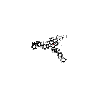 C=CC(CCCO)C1CCC(C(C2CCC(C3CCC(C4CCCCC4)CC3)CC2)C(CC)C[C@@H]2CC3CCC(C4CC[C@H]5C[C@H]6CCCCC6C5C4)CC3C2(C)C(CCCC)CC2C=CCC2)CC1